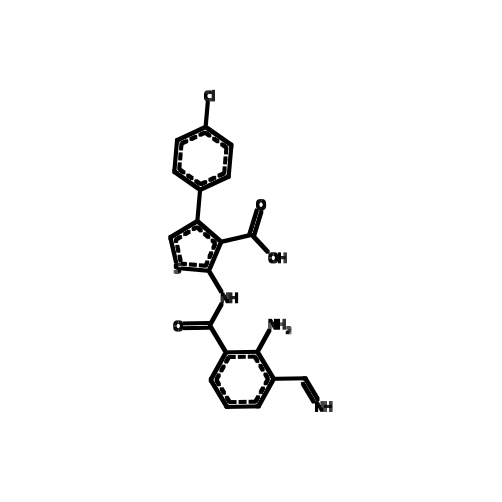 N=Cc1cccc(C(=O)Nc2scc(-c3ccc(Cl)cc3)c2C(=O)O)c1N